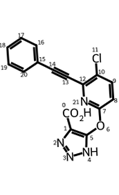 O=C(O)c1nn[nH]c1Oc1ccc(Cl)c(C#Cc2ccccc2)n1